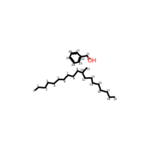 CCCCCCCCCCC(C)CCCCCCCC.OCc1ccccc1